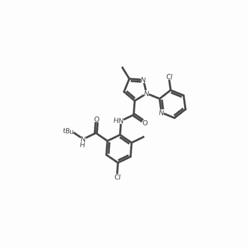 Cc1cc(C(=O)Nc2c(C)cc(Cl)cc2C(=O)NC(C)(C)C)n(-c2ncccc2Cl)n1